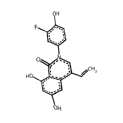 C=Cc1cn(-c2ccc(O)c(F)c2)c(=O)c2c(O)cc(O)cc12